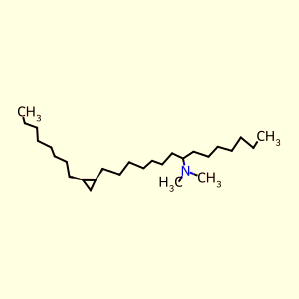 CCCCCCCC[C@@H]1C[C@@H]1CCCCCCCC(CCCCCCC)N(C)C